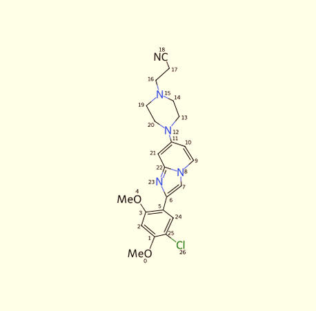 COc1cc(OC)c(-c2cn3ccc(N4CCN(CCC#N)CC4)cc3n2)cc1Cl